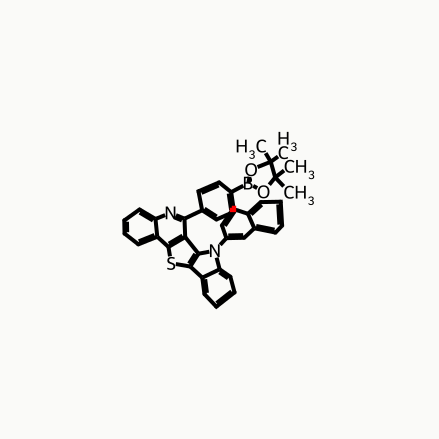 CC1(C)OB(c2ccc(-c3nc4ccccc4c4sc5c6ccccc6n(-c6ccc7ccccc7c6)c5c34)cc2)OC1(C)C